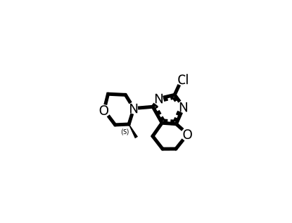 C[C@H]1COCCN1c1nc(Cl)nc2c1CCCO2